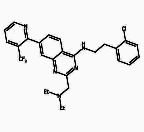 CCN(CC)Cc1nc(NCCc2ccccc2Cl)c2ccc(-c3ncccc3C(F)(F)F)cc2n1